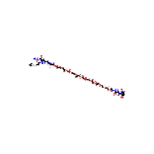 CCCCCCCCCCCC(=O)NC(CCCCNC(=O)CCOCCOCCOCCOCCOCCOCCOCCOCCOCCOCCOCCOCCNC(=O)CCN1C(=O)C=CC1=O)C(N)=O